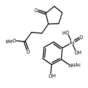 CC(=O)Nc1c(O)cccc1[As](=O)(O)O.COC(=O)CCC1CCCC1=O